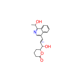 CC(O)c1ncc(/C=C/C(O)C2CCCC(=O)O2)c2ccccc12